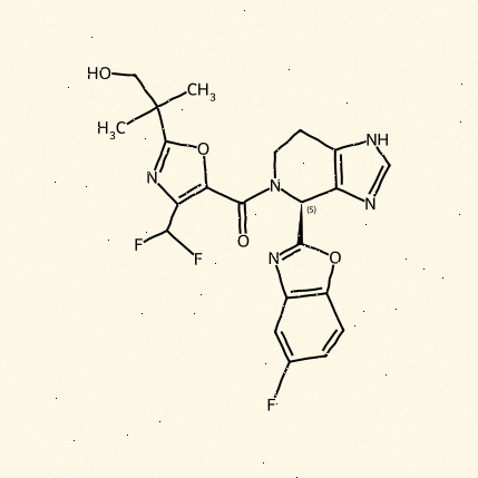 CC(C)(CO)c1nc(C(F)F)c(C(=O)N2CCc3[nH]cnc3[C@H]2c2nc3cc(F)ccc3o2)o1